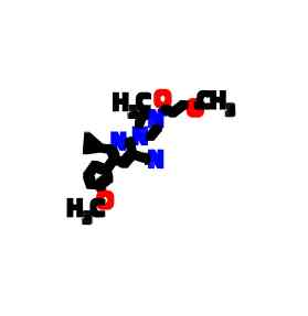 COCCC(=O)N1CCN(c2nc(C3CC3)c(-c3cccc(OC)c3)cc2C#N)CC1C